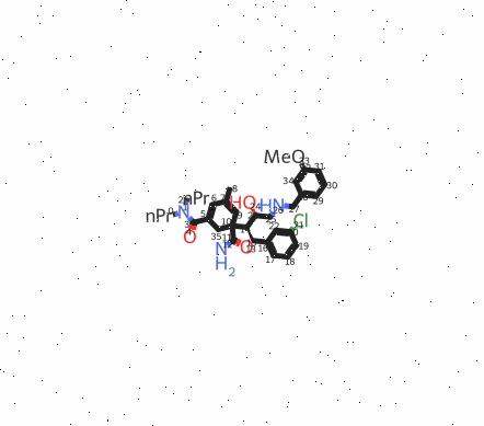 CCCN(CCC)C(=O)C1=CC(C)=CC(C(N)=O)([C@H](Cc2cccc(Cl)c2)[C@@H](O)CNCc2cccc(OC)c2)C1